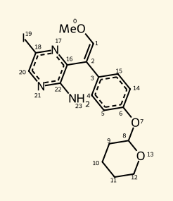 COC=C(c1ccc(OC2CCCCO2)cc1)c1nc(I)cnc1N